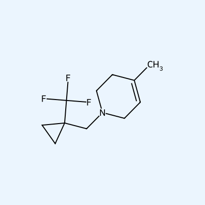 CC1=CCN(CC2(C(F)(F)F)CC2)CC1